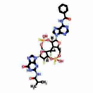 CC(C)C(=O)Nc1nc2c(ncn2[C@@H]2O[C@]34CO[P@@](O)(=S)O[C@H]5[C@H](n6cnc7c(NC(=O)c8ccccc8)ncnc76)O[C@H](COP(O)(=S)O[C@H]3[C@H]2F)[C@]52CC24F)c(=O)[nH]1